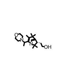 CC1=C(C(C)N2CCOCC2)N2C=C([C@H](CCO)C2(C)C)C1(C)C